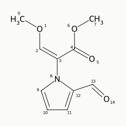 COC=C(C(=O)OC)n1cccc1C=O